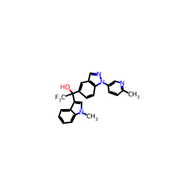 Cc1ccc(-n2ncc3cc(C(O)(c4cn(C)c5ccccc45)C(F)(F)F)ccc32)cn1